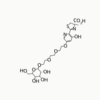 C[C@]1(C(=O)O)CSC(c2ncc(OCCOCCOCCO[C@@H]3OC(CO)[C@H](O)C(O)[C@H]3O)cc2O)=N1